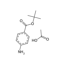 CC(=O)O.CC(C)(C)OC(=O)c1ccc(N)cc1